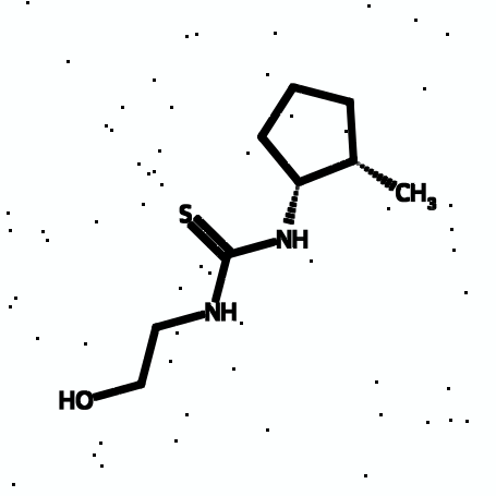 C[C@H]1CCC[C@H]1NC(=S)NCCO